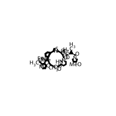 CCO[C@@H]1c2nc(cs2)-c2ccc3c(c2)c(c(-c2cccnc2[C@H](C)OC)n3CC)CC(C)(C)COC(=O)[C@@H]2CCCN(N2)C(=O)[C@H]1NC(=O)[C@@H]1[C@@H](C)[C@H]1C(=O)N1CC=C(OC)C1